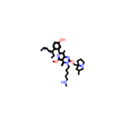 C=C1c2c(OC)nc(-c3cc(O)ccc3/C(=C\C=C/C)CC)c(C)c2N=C(OCC23CCCN2CC(C)C3)N1CCCCCNC